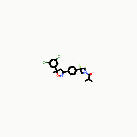 CC(C)C(=O)N1CC(F)(c2ccc(C3=NOC(C)(c4cc(Cl)cc(Cl)c4)C3)cc2)C1